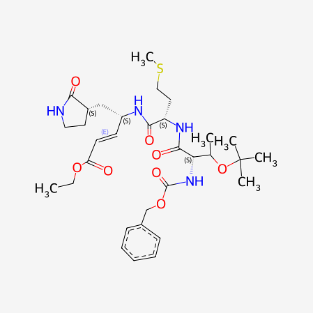 CCOC(=O)/C=C/[C@H](C[C@@H]1CCNC1=O)NC(=O)[C@H](CCSC)NC(=O)[C@@H](NC(=O)OCc1ccccc1)C(C)OC(C)(C)C